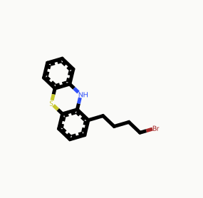 BrCCCCc1cccc2c1Nc1ccccc1S2